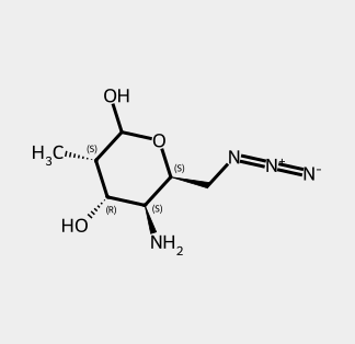 C[C@@H]1C(O)O[C@@H](CN=[N+]=[N-])[C@@H](N)[C@@H]1O